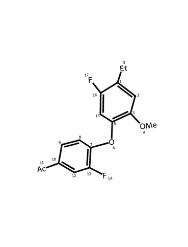 CCc1cc(OC)c(Oc2ccc(C(C)=O)cc2F)cc1F